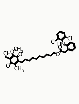 CCC1=C(OC)C(=O)C(CCCCCCCCCCOC(=O)Cc2ccccc2Nc2c(Cl)cccc2Cl)=C(C)C1=O